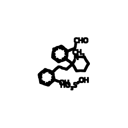 CN1CCCCC1(CCc1ccccc1O)c1ccccc1CC=O.O=S(=O)(O)O